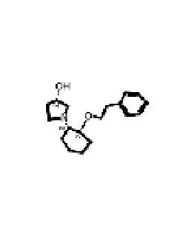 O[C@H]1CCN([C@H]2CCCC[C@@H]2OCCc2ccccc2)C1